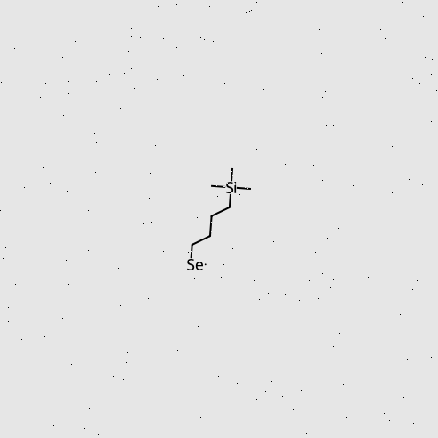 C[Si](C)(C)CCCC[Se]